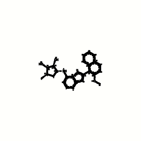 [CH2][C@@H]1C[C@@H](Nc2ccnc3cc(-c4c(OC)ccc5ccccc45)nn23)[C@H](O)[C@@H]1O